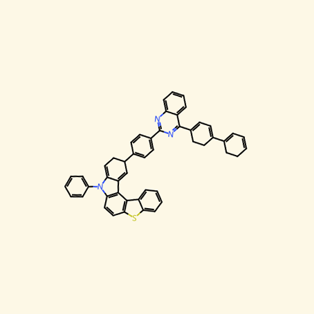 C1=CCCC(C2=CC=C(c3nc(-c4ccc(C5C=c6c(n(-c7ccccc7)c7ccc8sc9ccccc9c8c67)=CC5)cc4)nc4ccccc34)CC2)=C1